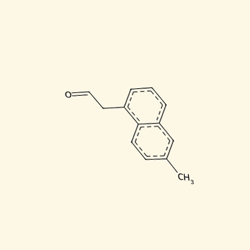 Cc1ccc2c(CC=O)cccc2c1